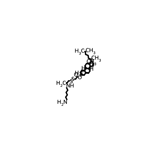 C=C(CSSCC(=O)O[C@H]1CC[C@@]2(C)C(=CC[C@H]3[C@@H]4CC[C@H]([C@H](C)CCCC(C)C)[C@@]4(C)CC[C@@H]32)C1)NCCCCCCN